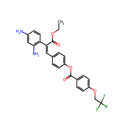 CCOC(=O)C(=Cc1ccc(OC(=O)c2ccc(OCC(F)(F)F)cc2)cc1)c1ccc(N)cc1N